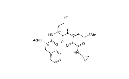 CSCC[C@H](NC(=O)[C@H](CCC(C)C)NC(=O)[C@H](Cc1ccccc1)NC(C)=O)C(=O)C(=O)NC1CC1